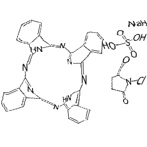 O=C1CCC(=O)N1Cl.O=S(=O)(O)O.[NaH].c1ccc2c(c1)-c1nc-2nc2[nH]c(nc3nc(nc4[nH]c(n1)c1ccccc41)-c1ccccc1-3)c1ccccc21